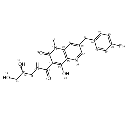 Cn1c(=O)c(C(=O)NC[C@H](O)CO)c(O)c2ncc(Cc3ccc(F)cc3)cc21